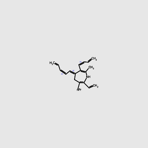 C=C/C=C\C=C1/CC(CCC)=C(C=C)NC(C)=C1/C=C\C=C